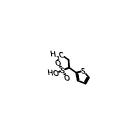 CCC(c1cccs1)S(=O)(=O)O